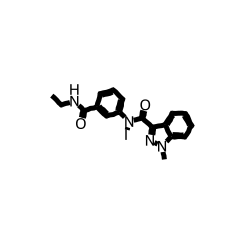 CCNC(=O)c1cccc(N(I)C(=O)c2nn(C)c3ccccc23)c1